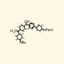 CCCCCC1CCC(c2ccc(C(C)C3CCC(C(C)C4CCC(CCCC)CC4)CC3)cc2)CC1